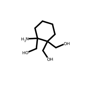 NC1(CO)CCCCC1(CO)CO